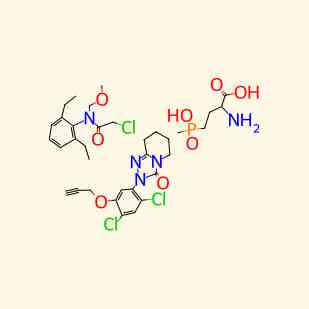 C#CCOc1cc(-n2nc3n(c2=O)CCCC3)c(Cl)cc1Cl.CCc1cccc(CC)c1N(COC)C(=O)CCl.CP(=O)(O)CCC(N)C(=O)O